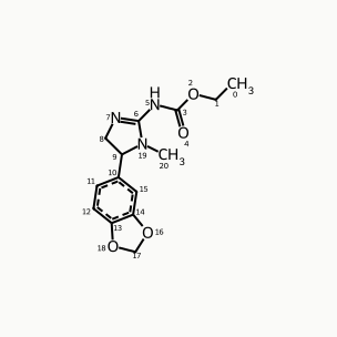 CCOC(=O)NC1=NCC(c2ccc3c(c2)OCO3)N1C